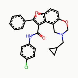 O=C(Nc1ccc(Cl)cc1)c1c(-c2ccccc2)oc2ccc3c(c12)CN(CC1CC1)CO3